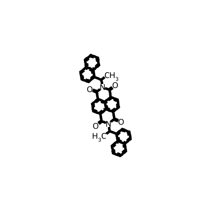 CC(c1cccc2ccccc12)N1C(=O)c2ccc3c4c(ccc(c24)C1=O)C(=O)N(C(C)c1cccc2ccccc12)C3=O